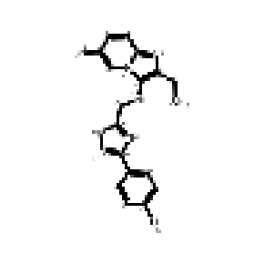 CCc1nc2ccc(Br)cn2c1NCc1nc(-c2ccc(Cl)cc2)ns1